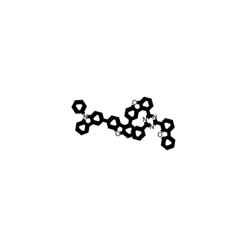 c1ccc(-c2nc(-c3cccc4c3oc3ccccc34)nc(-c3cccc4oc5ccc(-c6cccc7oc8cc(-c9ccc%10c(c9)c9ccccc9n%10-c9ccccc9)ccc8c67)cc5c34)n2)cc1